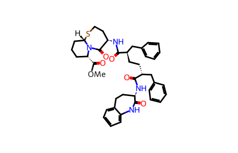 COC(=O)[C@@H]1CCC[C@@H]2SCC[C@H](NC(=O)[C@H](CC[C@H](Cc3ccccc3)C(=O)N[C@H]3CCc4ccccc4NC3=O)Cc3ccccc3)C(=O)N21